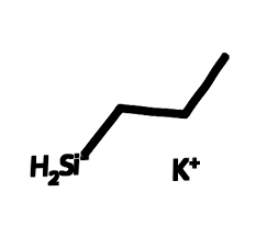 CCC[SiH2-].[K+]